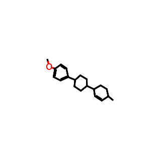 COc1ccc(C2CCC(C3C=CC(C)CC3)CC2)cc1